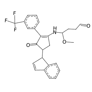 COC(CCC=O)NC1=C(c2cccc(C(F)(F)F)c2)C(=O)C(C2C=Cc3ccccc32)C1